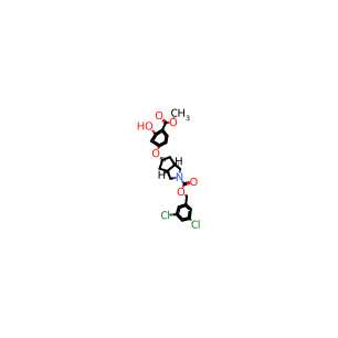 COC(=O)c1ccc(O[C@@H]2C[C@@H]3CN(C(=O)OCc4cc(Cl)cc(Cl)c4)C[C@@H]3C2)cc1O